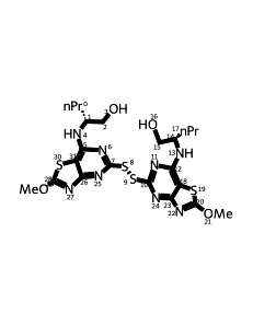 CCC[C@H](CO)Nc1nc(SSc2nc(N[C@@H](CO)CCC)c3sc(OC)nc3n2)nc2nc(OC)sc12